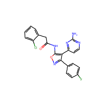 Nc1nccc(-c2c(-c3ccc(F)cc3)noc2NC(=O)Cc2ccccc2Cl)n1